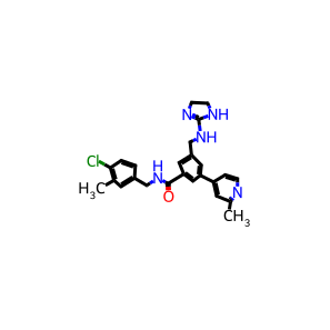 Cc1cc(-c2cc(CNC3=NCCN3)cc(C(=O)NCc3ccc(Cl)c(C)c3)c2)ccn1